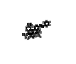 CC1CCC(C(C)C)C(N(c2ccc(/N=N/c3ccccc3)cc2)C2CC(C)CCC2C(C)C)C1